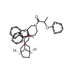 Cc1nc2ccccc2n1[C@H]1C[C@H]2CC[C@@H](C1)N2CCC1(c2ccccc2)CCN(C(=O)C(C)Oc2ccccc2)CC1